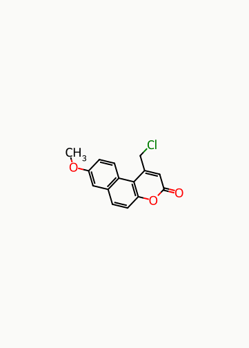 COc1ccc2c(ccc3oc(=O)cc(CCl)c32)c1